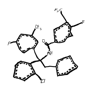 O=C(NC(Cc1ccccc1)(c1cc(F)cc(C(F)(F)F)c1)c1ccccc1Cl)c1ccc(F)c(C(F)(F)F)c1